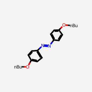 CCCCOc1ccc(N=Nc2ccc(OCCCC)cc2)cc1